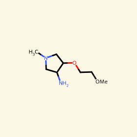 COCCOC1CN(C)CC1N